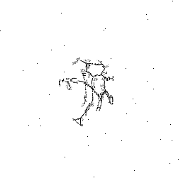 CC(F)(F)C1(C#CC2CC2)NC(=O)Nc2ccc(F)cc21